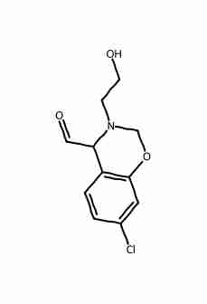 O=CC1c2ccc(Cl)cc2OCN1CCO